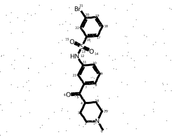 CN1CCC(C(=O)c2cccc(NS(=O)(=O)c3cccc(Br)c3)c2)CC1